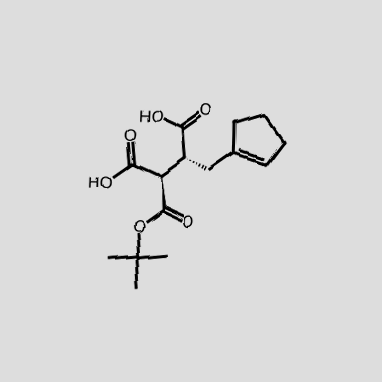 CC(C)(C)OC(=O)[C@@H](C(=O)O)[C@@H](CC1=CCCC1)C(=O)O